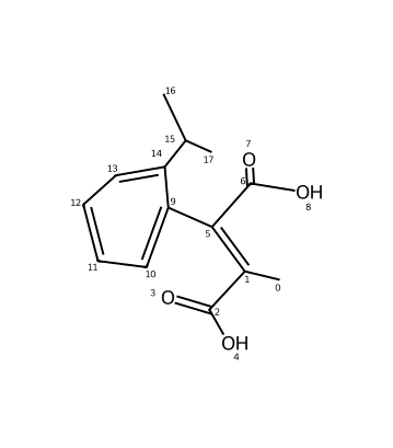 C/C(C(=O)O)=C(\C(=O)O)c1ccccc1C(C)C